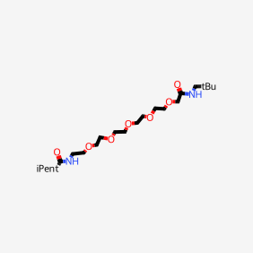 CCCC(C)C(=O)NCCOCCOCCOCCOCCOCC(=O)NCC(C)(C)C